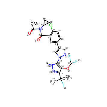 COC(=O)N(C(=O)c1cc(-c2cnn(-c3c(OC(F)F)c(C(F)(C(F)(F)F)C(F)(F)F)nn3C)c2)ccc1Cl)C1CC1